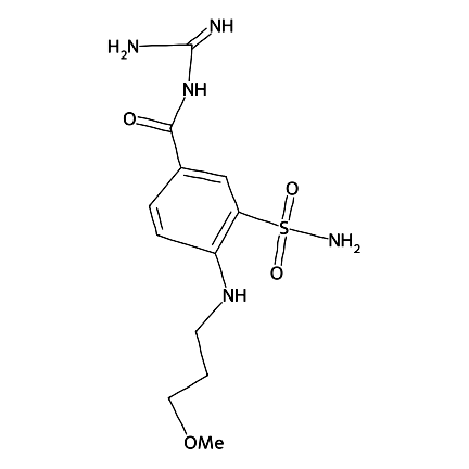 COCCCNc1ccc(C(=O)NC(=N)N)cc1S(N)(=O)=O